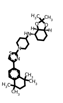 CC1(C)O[C@H]2[C@H](NC3CCN(c4nc(-c5ccc6c(c5)C(C)(C)CCC6(C)C)cs4)CC3)CCC[C@H]2O1